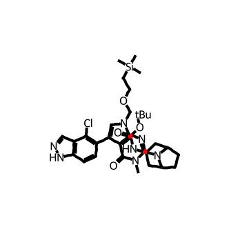 Cn1c(N2C3CCC2CC(NC(=O)OC(C)(C)C)C3)nc2c(c(-c3ccc4[nH]ncc4c3Cl)cn2COCC[Si](C)(C)C)c1=O